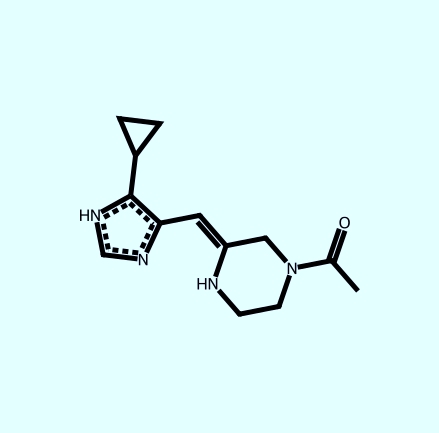 CC(=O)N1CCN/C(=C\c2nc[nH]c2C2CC2)C1